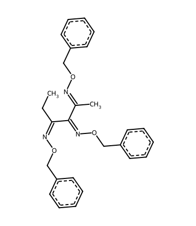 CCC(=NOCc1ccccc1)C(=NOCc1ccccc1)C(C)=NOCc1ccccc1